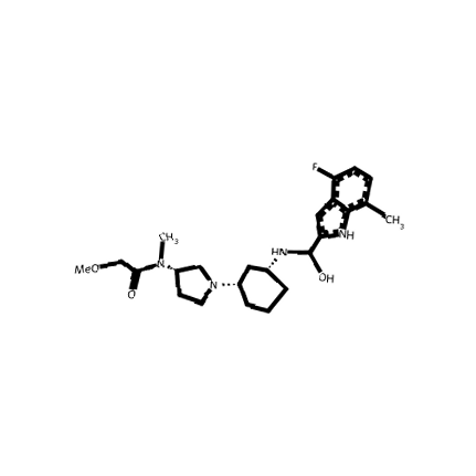 COCC(=O)N(C)[C@H]1CCN([C@H]2CCC[C@@H](NC(O)c3cc4c(F)ccc(C)c4[nH]3)C2)C1